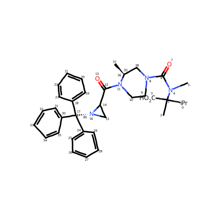 CC(C)C(C)(C(=O)O)N(C)C(=O)N1CCN(C(=O)C2C[N@]2C(c2ccccc2)(c2ccccc2)c2ccccc2)[C@@H](C)C1